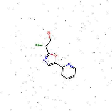 OCC(Cl)c1ncc(-c2ccccn2)o1